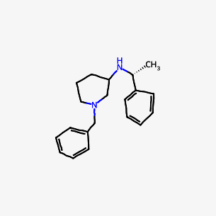 C[C@@H](NC1CCCN(Cc2ccccc2)C1)c1ccccc1